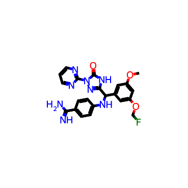 COc1cc(OCF)cc(C(Nc2ccc(C(=N)N)cc2)c2nn(-c3ncccn3)c(=O)[nH]2)c1